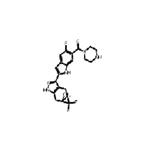 CC12Cc3[nH]nc(-c4cc5cc(F)c(C(=O)N6CCNCC6)cc5[nH]4)c3CC1C2(F)F